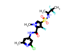 C/C(=N\S(=O)(=O)c1cn(C)c(C(=O)Nc2cc(C)nc(Cl)c2)c1F)C(C)(F)F